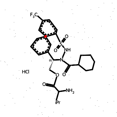 CC(C)C(N)C(=O)OC[C@H](c1ccccc1)N(NS(=O)(=O)c1ccc(C(F)(F)F)cc1)C(=O)C1CCCCC1.Cl